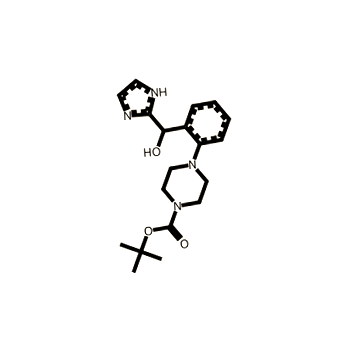 CC(C)(C)OC(=O)N1CCN(c2ccccc2C(O)c2ncc[nH]2)CC1